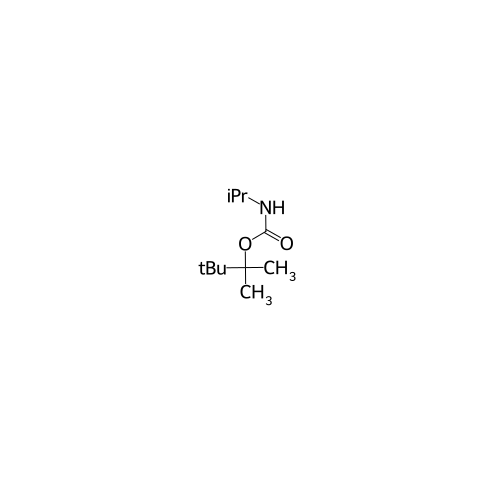 CC(C)NC(=O)OC(C)(C)C(C)(C)C